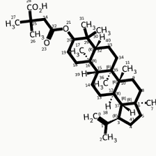 C=C(C)[C@@H]1CC[C@]2(C)CC[C@]3(C)[C@H](CC[C@@H]4[C@@]5(C)CCC(OC(=O)CC(C)(C)C(=O)O)C(C)(C)[C@@H]5CC[C@]43C)[C@@H]12